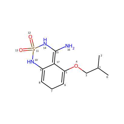 CC(C)COC1=CCC=C2NS(=O)(=O)NC(N)=C21